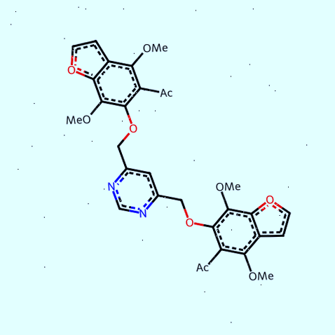 COc1c(C(C)=O)c(OCc2cc(COc3c(C(C)=O)c(OC)c4ccoc4c3OC)ncn2)c(OC)c2occc12